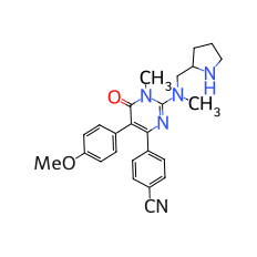 COc1ccc(-c2c(-c3ccc(C#N)cc3)nc(N(C)CC3CCCN3)n(C)c2=O)cc1